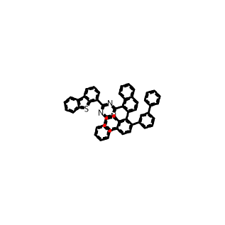 c1ccc(-c2cccc(-c3ccc4ccccc4c3-c3ccc4ccccc4c3-c3nc(-c4ccccc4)nc(-c4cccc5c4sc4ccccc45)n3)c2)cc1